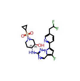 O=S(=O)(C1CC1)N1CC[C@@H](Nc2ncc3c(F)cc(-c4ccc(CC(F)F)cn4)n3n2)[C@H](O)C1